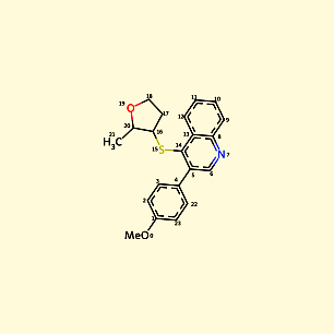 COc1ccc(-c2cnc3ccccc3c2SC2CCOC2C)cc1